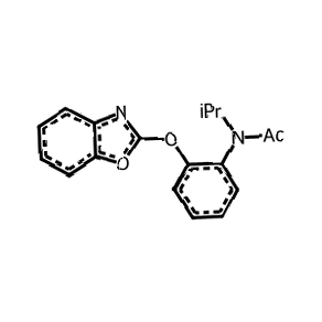 CC(=O)N(c1ccccc1Oc1nc2ccccc2o1)C(C)C